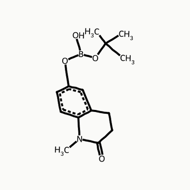 CN1C(=O)CCc2cc(OB(O)OC(C)(C)C)ccc21